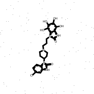 O=c1[nH]c2c(O)c(O)c(O)c(O)c2n1CCCN1CCC(n2c(=O)[nH]c3cc(Cl)ccc32)CC1